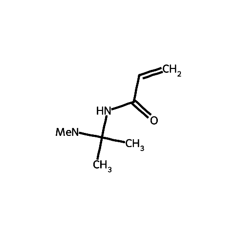 C=CC(=O)NC(C)(C)NC